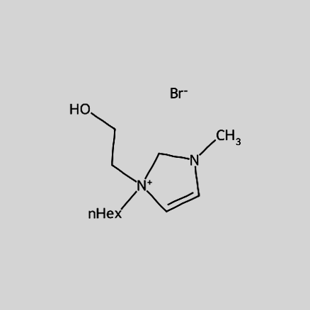 CCCCCC[N+]1(CCO)C=CN(C)C1.[Br-]